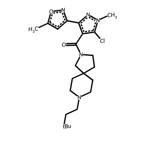 Cc1cc(-c2nn(C)c(Cl)c2C(=O)N2CCC3(CCN(CCC(C)(C)C)CC3)C2)no1